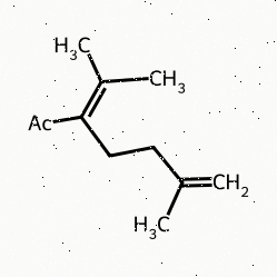 C=C(C)CCC(C(C)=O)=C(C)C